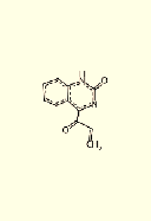 C=CC(=O)c1nc(=O)[nH]c2ccccc12